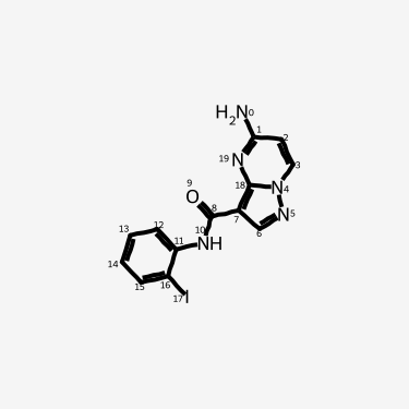 Nc1ccn2ncc(C(=O)Nc3ccccc3I)c2n1